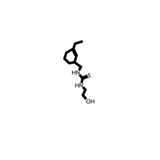 CCC1=CC(CNC(=S)NCCO)CCC1